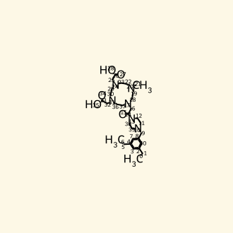 CCc1cc(CC)cc(CN2CCN(C(=O)CN3CCN(C)CCN(CC(=O)O)CCN(CC(=O)O)CC3)CC2)c1